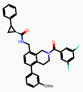 COc1cccc(-c2ccc(CNC(=O)[C@H]3CC3c3ccccc3)c3c2CCN(C(=O)c2cc(F)cc(F)c2)C3)c1